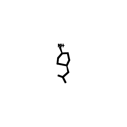 CC(C)C[C@H]1CC[C@@H]([NH])CC1